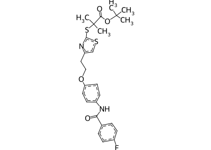 CC(C)(C)OC(=O)C(C)(C)Sc1nc(CCOc2ccc(NC(=O)c3ccc(F)cc3)cc2)cs1